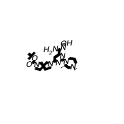 C[C@H]1CN(C)CCCN1c1nc(/C(N)=N/O)cc(N2CCC3(CCN(C(=O)OC(C)(C)C)C3)C2)n1